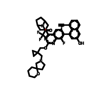 C#Cc1cccc2cc(O)cc(-c3c(F)cc4c(N5CC6CCC(C5)N6C(=O)C(F)(F)F)nc(OCC5(CN6CCC7(CCCCO7)C6)CC5)nc4c3F)c12